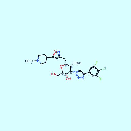 CO[C@@H]1[C@@H](n2cc(-c3cc(F)c(Cl)c(F)c3)nn2)[C@@H](O)[C@@H](CO)O[C@@H]1Cc1cc(C2CCN(C(=O)O)CC2)on1